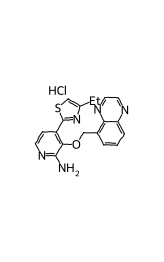 CCc1csc(-c2ccnc(N)c2OCc2cccc3nccnc23)n1.Cl